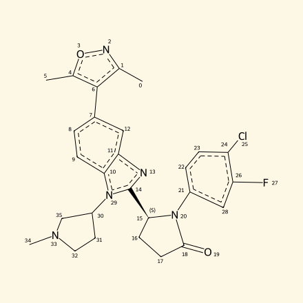 Cc1noc(C)c1-c1ccc2c(c1)nc([C@@H]1CCC(=O)N1c1ccc(Cl)c(F)c1)n2C1CCN(C)C1